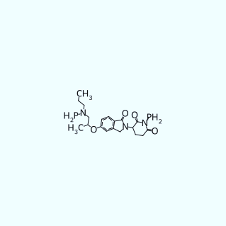 CCCN(P)CC(C)Oc1ccc2c(c1)CN(C1CCC(=O)N(P)C1=O)C2=O